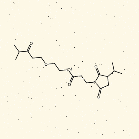 CC(C)C(=O)CCOCCNC(=O)CCN1C(=O)CC(C(C)C)C1=O